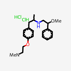 CNCCOc1ccc(CC(C)NCC(OC)c2ccccc2)cc1.Cl.Cl